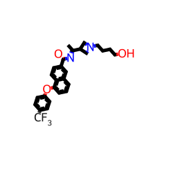 C/C(=N\C(=O)c1ccc2c(Oc3ccc(C(F)(F)F)cc3)cccc2c1)C1CN(CCCCO)C1